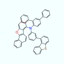 c1ccc(-c2ccc(N(c3cccc(-c4cccc5sc6ccccc6c45)c3)c3cccc4oc5c6ccccc6ccc5c34)c(-c3ccccc3)c2)cc1